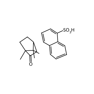 CC12CCC(CC1=O)C2(C)C.O=S(=O)(O)c1cccc2ccccc12